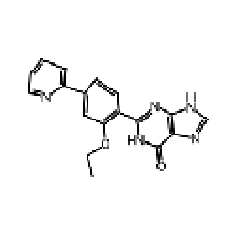 CCOc1cc(-c2ccccn2)ccc1-c1nc2[nH]cnc2c(=O)[nH]1